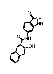 O=C(Nc1ccc2c(=O)[nH][nH]c2c1)c1cc2ccccc2cc1O